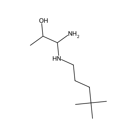 CC(O)C(N)NCCCC(C)(C)C